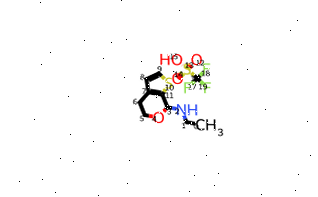 CCNC1OCCc2ccsc21.O=S(=O)(O)C(F)(F)F